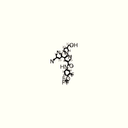 N#Cc1cncc(-c2cc(C(=O)Nc3ccc(OC(F)(F)F)c(F)c3)cnc2N2CCC(CO)C2)c1